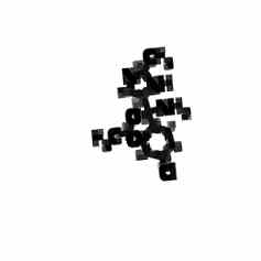 NC(OC(=O)C(F)(F)F)(c1ccc(Cl)cc1)c1cnc(C(F)(F)F)[nH]1